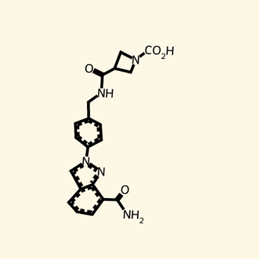 NC(=O)c1cccc2cn(-c3ccc(CNC(=O)C4CN(C(=O)O)C4)cc3)nc12